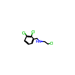 ClCCNCc1cccc(Cl)c1Cl